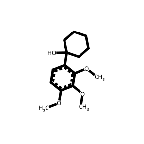 COc1ccc(C2(O)CCCCC2)c(OC)c1OC